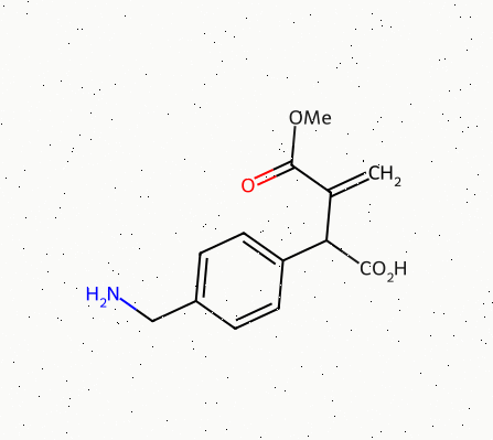 C=C(C(=O)OC)C(C(=O)O)c1ccc(CN)cc1